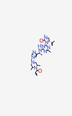 C=CC(=O)N1C(C)CN(Cn2cnc([C@H](C)Nc3nc(C)nc(N4C(=O)N(C)C[C@@H]4C(=C)C)n3)c2)CC1C